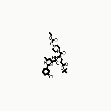 CCOC(=O)ON1CCN(C(=O)[C@H](CCC(=O)OC(C)(C)C)NC(=O)c2cc(C)nc(-c3cccc(Cl)c3)n2)CC1